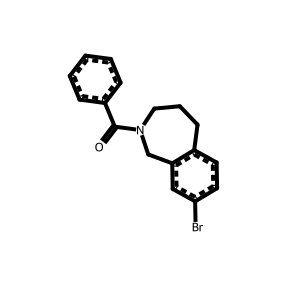 O=C(c1ccccc1)N1CCCc2ccc(Br)cc2C1